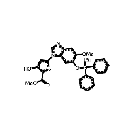 COC(=O)c1sc(-n2cnc3cc(OC)c(O[Si](c4ccccc4)(c4ccccc4)C(C)(C)C)cc32)cc1O